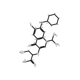 CCC(Oc1cn(C(C)C)c2cc(NC3CCCCC3)c(F)cc2c1=O)C(=O)O